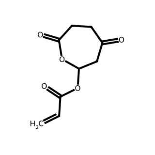 C=CC(=O)OC1CC(=O)CCC(=O)O1